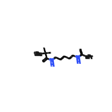 C=C(CCC)NCCCCCNC(=C)C(C)(C)C(C)(C)C